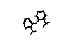 CC(C)c1ccccc1Oc1ccccc1C(C)C